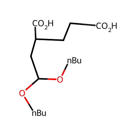 CCCCOC(CC(CCC(=O)O)C(=O)O)OCCCC